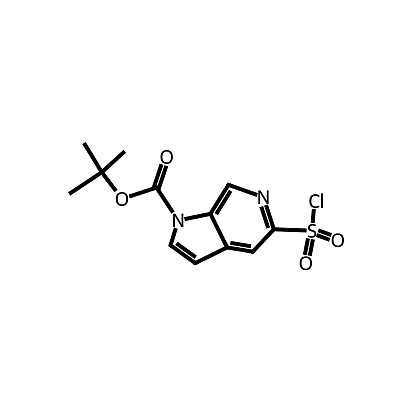 CC(C)(C)OC(=O)n1ccc2cc(S(=O)(=O)Cl)ncc21